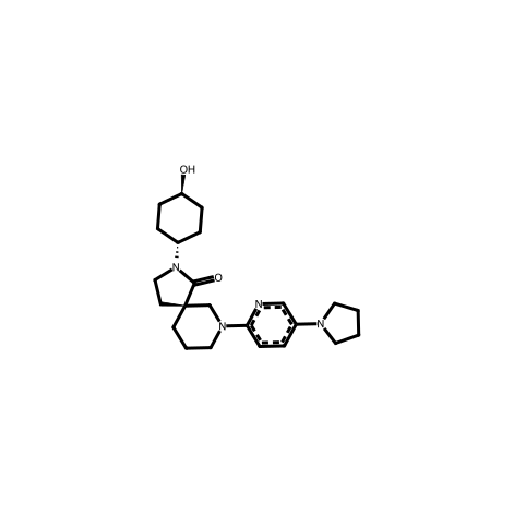 O=C1N([C@H]2CC[C@H](O)CC2)CC[C@@]12CCCN(c1ccc(N3CCCC3)cn1)C2